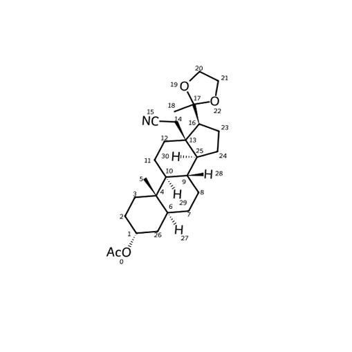 CC(=O)O[C@@H]1CC[C@@]2(C)[C@@H](CC[C@@H]3[C@@H]2CC[C@]2(CC#N)[C@@H](C4(C)OCCO4)CC[C@@H]32)C1